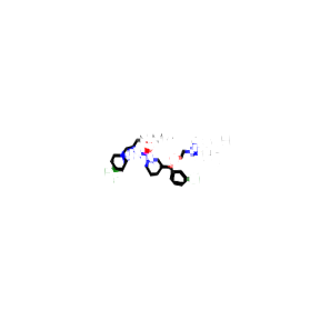 CNCC(CC1CCC(F)(F)CC1)NC(=O)N1CCCC(C(OCCN(C)C(=O)O)c2cccc(Cl)c2)C1